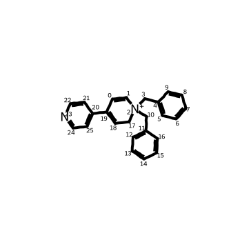 C1=C[N+](Cc2ccccc2)(Cc2ccccc2)CC=C1c1ccncc1